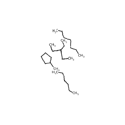 CC1CCCC1.CCC(CC)CC.CCCCCC.CCCCCCC